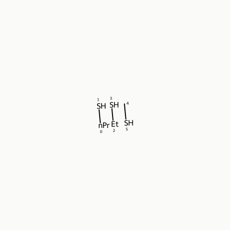 CCCS.CCS.CS